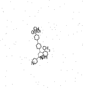 Cc1ccccc1C(C/C(=N\O)c1ccncc1)c1ccc(-c2ccc(S(C)(=O)=O)cc2)cc1